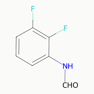 O=CNc1cccc(F)c1F